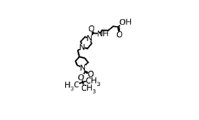 CC(C)(C)OC(=O)N1CCC(CN2CCN(C(=O)NCCCC(=O)O)CC2)CC1